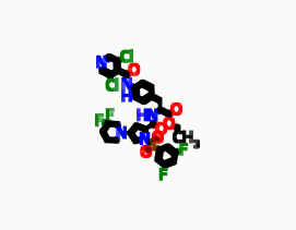 CCOC(=O)[C@H](Cc1ccc(NC(=O)c2c(Cl)cncc2Cl)cc1)NC(=O)[C@@H]1C[C@@H](N2CCCC(F)(F)C2)CN1S(=O)(=O)c1cc(F)cc(F)c1